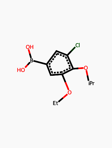 CCOc1cc(B(O)O)cc(Cl)c1OC(C)C